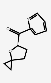 O=C(c1ccccn1)[C@H]1CCC2(CC2)O1